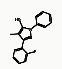 Cc1c(-c2ccccc2F)nn(-c2ccccc2)c1O